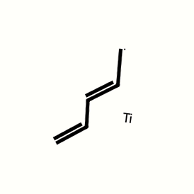 [CH2]C=CC=C.[Ti]